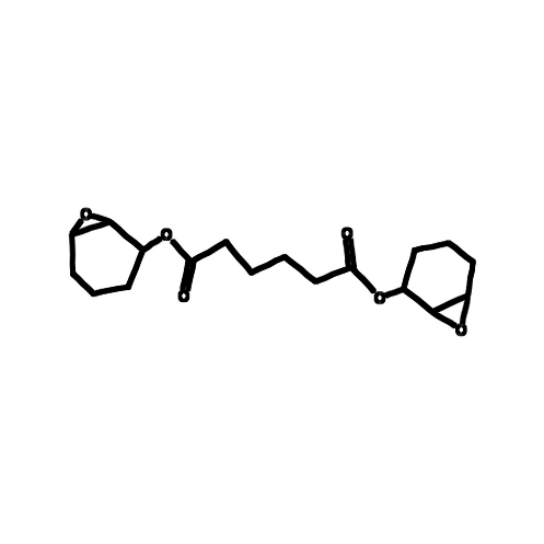 O=C(CCCCC(=O)OC1CCCC2OC12)OC1CCCC2OC12